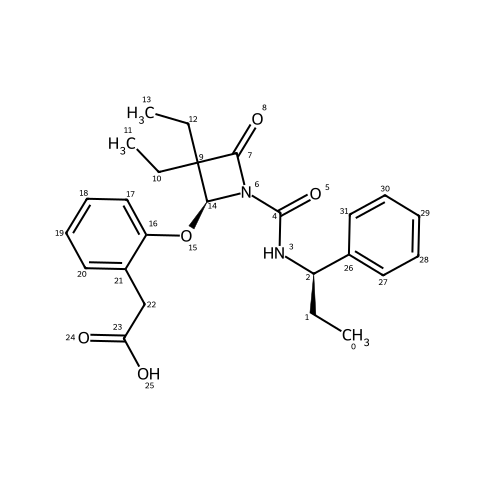 CC[C@@H](NC(=O)N1C(=O)C(CC)(CC)[C@@H]1Oc1ccccc1CC(=O)O)c1ccccc1